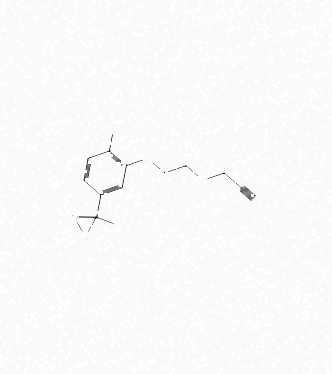 C#CCOCCOc1cc(C2(C(F)(F)F)NN2)ccc1C(C)=O